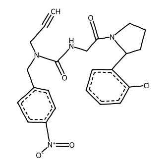 C#CCN(Cc1ccc([N+](=O)[O-])cc1)C(=O)NCC(=O)N1CCCC1c1ccccc1Cl